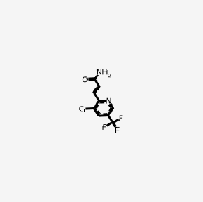 NC(=O)/C=C/c1ncc(C(F)(F)F)cc1Cl